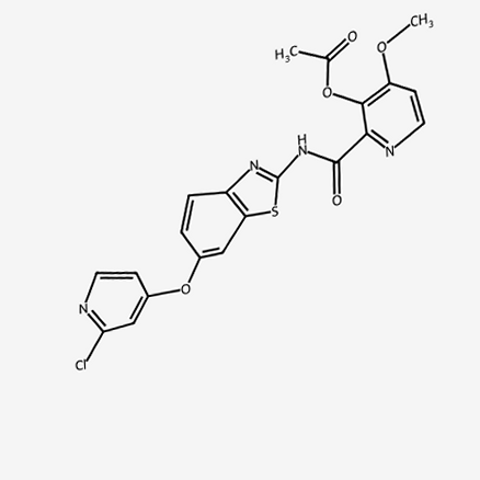 COc1ccnc(C(=O)Nc2nc3ccc(Oc4ccnc(Cl)c4)cc3s2)c1OC(C)=O